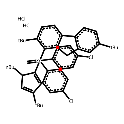 Cl.Cl.[CH2]=[Zr]([C]1=CC(C(C)(C)C)=CC1CCCC)([c]1ccc(Cl)cc1)([c]1ccc(Cl)cc1)[c]1c(C(C)(C)C)ccc2c1Cc1cc(C(C)(C)C)ccc1-2